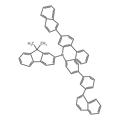 CC1(C)c2ccccc2-c2ccc(N(c3ccc(-c4cccc(-c5cccc6ccccc56)c4)cc3)c3cc(-c4ccc5ccccc5c4)ccc3-c3ccccc3)cc21